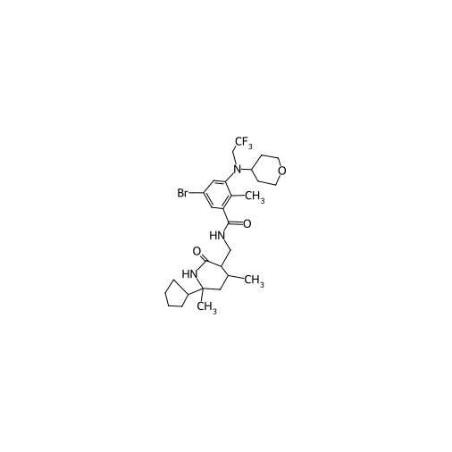 Cc1c(C(=O)NCC2C(=O)NC(C)(C3CCCC3)CC2C)cc(Br)cc1N(CC(F)(F)F)C1CCOCC1